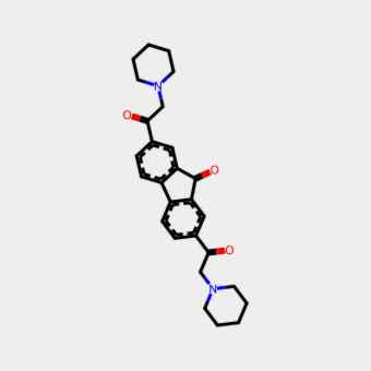 O=C(CN1CCCCC1)c1ccc2c(c1)C(=O)c1cc(C(=O)CN3CCCCC3)ccc1-2